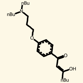 CCCCC(O)=CC(=O)c1ccc(OCCCN(CCCC)CCCC)cc1